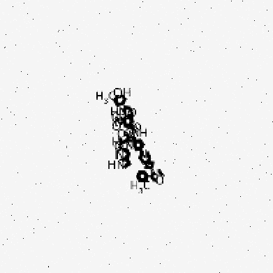 Cc1ccccc1[C@@H]1COCCN1C1CC2(CCN(c3ccc(C(=O)NS(=O)(=O)c4cc5c(c([N+](=O)[O-])c4)N[C@@H](C4CCC(C)(O)CC4)CO5)c(N4c5cc6cc[nH]c6nc5O[C@H]5COCC[C@@H]54)c3)CC2)C1